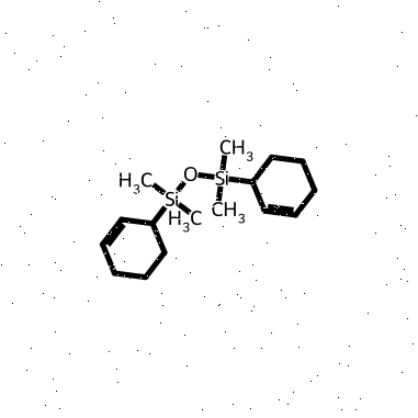 C[Si](C)(O[Si](C)(C)C1C=CCCC1)C1C=CCCC1